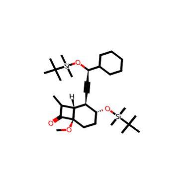 CO[C@]12CC[C@@H](O[Si](C)(C)C(C)(C)C)[C@H](C#C[C@@H](O[Si](C)(C)C(C)(C)C)C3CCCCC3)[C@H]1C(C)C2=O